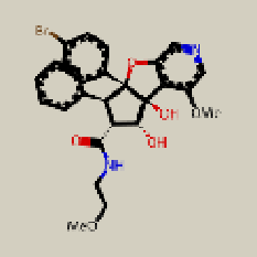 COCCNC(=O)[C@H]1[C@@H](O)[C@@]2(O)c3c(OC)cncc3O[C@@]2(c2ccc(Br)cc2)[C@@H]1c1ccccc1